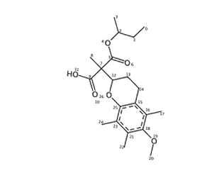 CCC(C)OC(=O)C(C)(C(=O)O)C1CCc2c(C)c(OC)c(C)c(C)c2O1